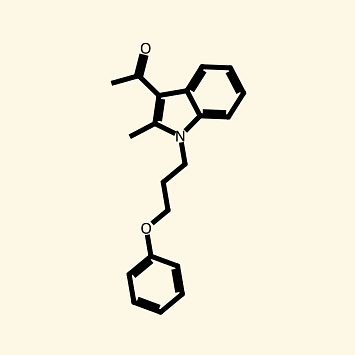 CC(=O)c1c(C)n(CCCOc2ccccc2)c2ccccc12